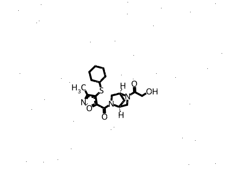 Cc1noc(C(=O)N2C[C@@H]3C[C@H]2CN3C(=O)CO)c1SC1CCCCC1